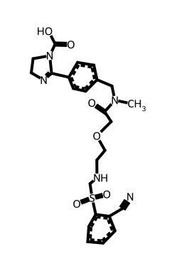 CN(Cc1ccc(C2=NCCN2C(=O)O)cc1)C(=O)COCCNCS(=O)(=O)c1ccccc1C#N